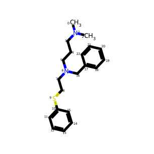 CN(C)CCCN(CCSc1ccccc1)Cc1ccccc1